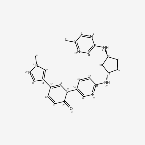 Cc1cnc(N[C@H]2CC[C@H](Nc3ccc(-n4cc(-c5cnn(C)c5)ccc4=O)cn3)C2)cn1